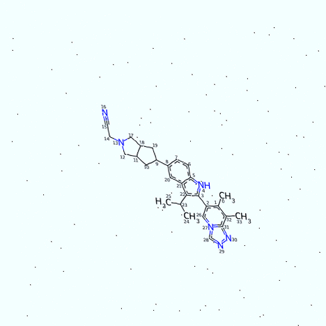 Cc1c(-c2[nH]c3ccc(C4CC5CN(CC#N)CC5C4)cc3c2C(C)C)cn2cnnc2c1C